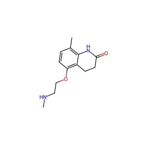 CNCCOc1ccc(C)c2c1CCC(=O)N2